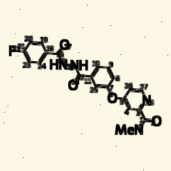 CNC(=O)c1cc(Oc2cccc(C(=O)NNC(=O)c3ccc(F)cc3)c2)ccn1